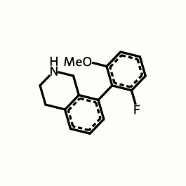 COc1cccc(F)c1-c1cccc2c1CNCC2